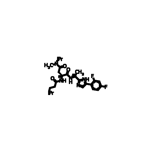 CC(C)CCC(=O)N[C@@H](CC(=O)N(C)C(C)C)C(=O)N[C@@H](C)c1ncc(-c2ccc(F)cc2F)[nH]1